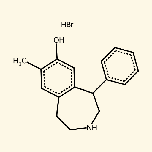 Br.Cc1cc2c(cc1O)C(c1ccccc1)CNCC2